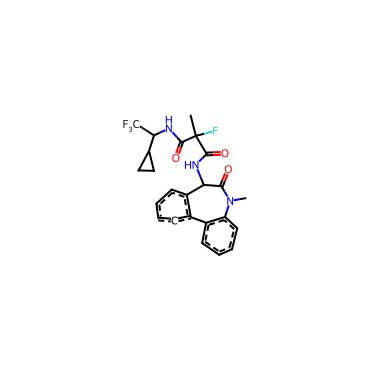 CN1C(=O)C(NC(=O)C(C)(F)C(=O)NC(C2CC2)C(F)(F)F)c2ccccc2-c2ccccc21